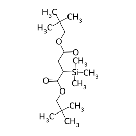 CC(C)(C)COC(=O)CC(C(=O)OCC(C)(C)C)[Si](C)(C)C